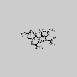 CC(O)CN(CC(C)O)C(=O)CC(=O)N(CC(C)O)CC(C)O